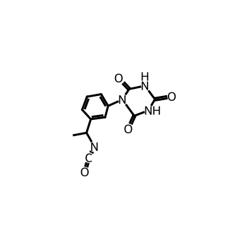 CC(N=C=O)c1cccc(-n2c(=O)[nH]c(=O)[nH]c2=O)c1